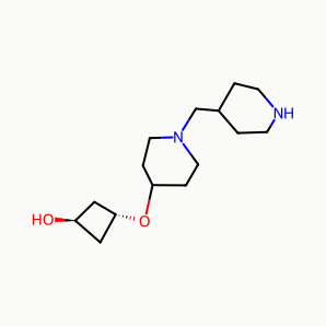 O[C@H]1C[C@H](OC2CCN(CC3CCNCC3)CC2)C1